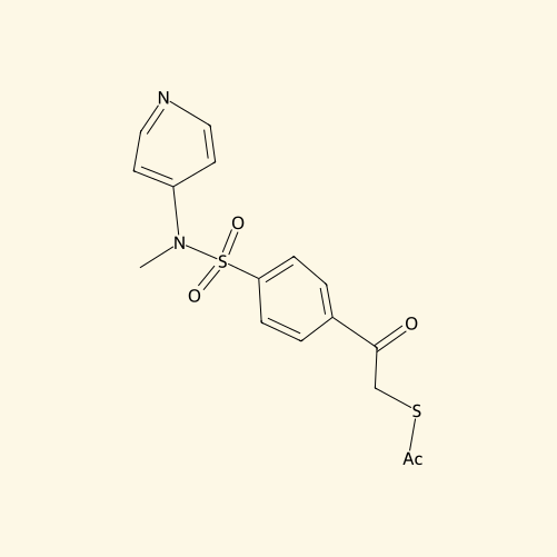 CC(=O)SCC(=O)c1ccc(S(=O)(=O)N(C)c2ccncc2)cc1